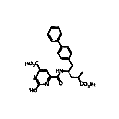 CCOC(=O)C(C)C[C@@H](Cc1ccc(-c2ccccc2)cc1)NC(=O)c1cc(C(=O)O)nc(O)n1